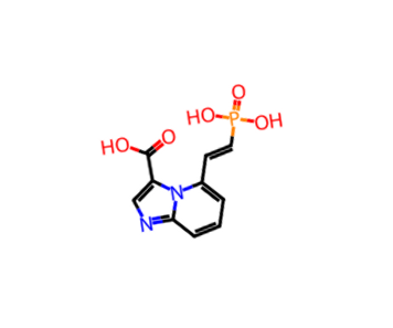 O=C(O)c1cnc2cccc(/C=C/P(=O)(O)O)n12